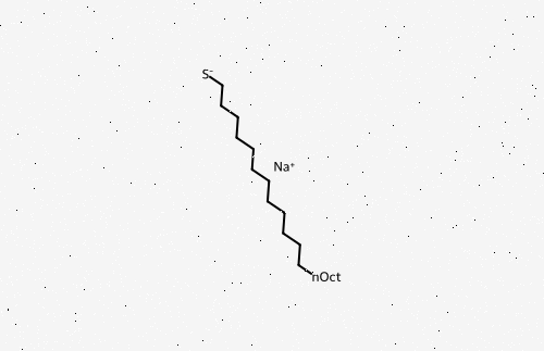 CCCCCCCCCCCCCCCCCCCC[S-].[Na+]